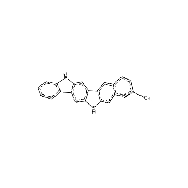 Cc1ccc2cc3c(cc2c1)Bc1cc2c(cc1-3)Bc1ccccc1-2